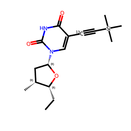 CC[C@H]1O[C@@H](n2cc([13C]#C[Si](C)(C)C)c(=O)[nH]c2=O)C[C@H]1C